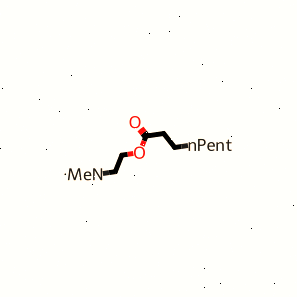 CCCCCCCC(=O)OCC[N]C